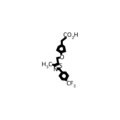 Cc1nc(-c2ccc(C(F)(F)F)cc2)sc1COc1ccc(CCC(=O)O)cc1